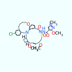 COc1nn(C)cc1C(=O)NS1(=O)=NC(=O)c2ccc3c(c2)N(Cc2ccc(Cl)cc2CCCCO3)C[C@@H]2CC[C@H]2[C@@H](OC)/C=C/[C@@H](OC)CC1